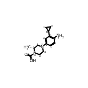 C[C@@H]1CN(c2ccc(N)c(C3CC3)c2)CCN1C(=O)O